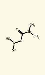 [CH3][Zn]([CH3])[C](=O)ON(S)S